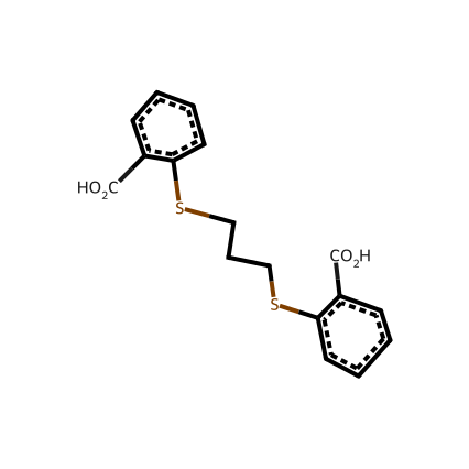 O=C(O)c1ccccc1SCCCSc1ccccc1C(=O)O